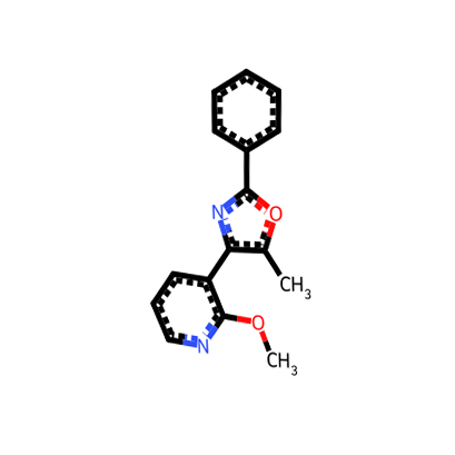 COc1ncccc1-c1nc(-c2ccccc2)oc1C